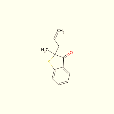 C=CCC1(C)Sc2ccccc2C1=O